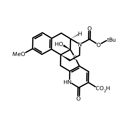 COc1ccc2c(c1)[C@]13CCN(C(=O)OC(C)(C)C)[C@H](C2)[C@]1(O)Cc1cc(C(=O)O)c(=O)[nH]c1C3